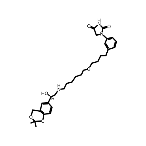 CC1(C)OCc2cc([C@@H](O)CNCCCCCCOCCCCc3cccc(N4CC(=O)NC4=O)c3)ccc2O1